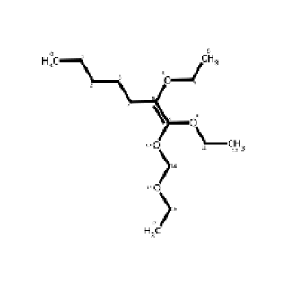 CCCCCC(OCC)=C(OCC)OCOCC